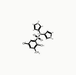 Cc1cc(Cl)cc(S(=O)(=O)N(c2ccsc2)c2ccsc2)c1Cl